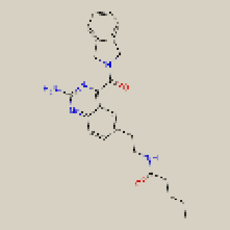 CCCCC(=O)NCCc1ccc2nc(N)nc(C(=O)N3Cc4ccccc4C3)c2c1